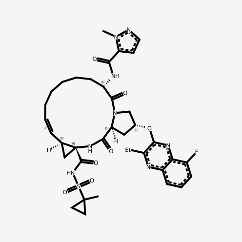 CCc1nc2cccc(F)c2nc1O[C@@H]1C[C@H]2C(=O)N[C@]3(C(=O)NS(=O)(=O)C4(C)CC4)C[C@H]3/C=C\CCCCC[C@H](NC(=O)c3ccnn3C)C(=O)N2C1